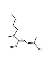 C=N/C(=C\C=C(/C)N)N(C)CCOC